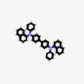 C1=CCC(N(c2ccc(-c3ccc(N(C4=CCCC=C4)C4=c5ccccc5=CCC4)cc3)cc2)c2cccc3ccccc23)C=C1